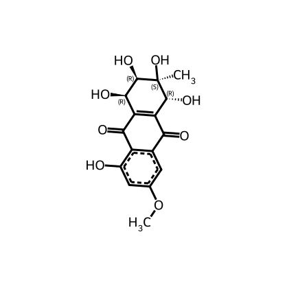 COc1cc(O)c2c(c1)C(=O)C1=C(C2=O)[C@@H](O)[C@@H](O)[C@@](C)(O)[C@@H]1O